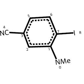 CNc1cc(C#N)ccc1I